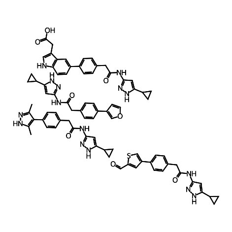 Cc1n[nH]c(C)c1-c1ccc(CC(=O)Nc2cc(C3CC3)[nH]n2)cc1.O=C(Cc1ccc(-c2ccoc2)cc1)Nc1cc(C2CC2)[nH]n1.O=C(O)Cc1c[nH]c2ccc(-c3ccc(CC(=O)Nc4cc(C5CC5)[nH]n4)cc3)cc12.O=Cc1cc(-c2ccc(CC(=O)Nc3cc(C4CC4)[nH]n3)cc2)cs1